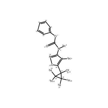 [2H]c1c(N([2H])C(=O)Oc2ccccc2)noc1C1(C(F)(F)F)C([2H])([2H])C1([2H])[2H]